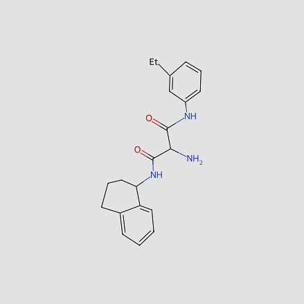 CCc1cccc(NC(=O)C(N)C(=O)NC2CCCc3ccccc32)c1